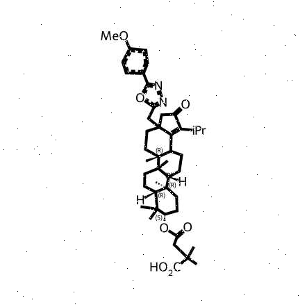 COc1ccc(-c2nnc(CC34CC[C@]5(C)C(CC[C@H]6C5(C)CC[C@H]5C(C)(C)[C@@H](OC(=O)CC(C)(C)C(=O)O)CC[C@@]56C)C3=C(C(C)C)C(=O)C4)o2)cc1